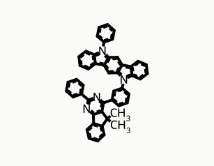 CC1(C)c2ccccc2-c2nc(-c3ccccc3)nc(-c3cccc(-n4c5ccccc5c5cc6c(cc54)c4ccccc4n6-c4ccccc4)c3)c21